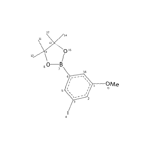 COc1cc(I)cc(B2OC(C)(C)C(C)(C)O2)c1